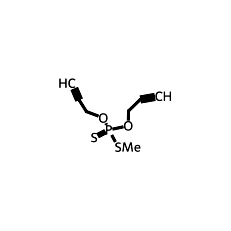 C#CCOP(=S)(OCC#C)SC